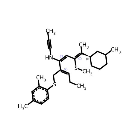 CC#CNC(=C/C(SC)=C(\C)[C@@H]1CCCC(C)C1)/C(=C/CC)CSc1ccc(C)cc1C